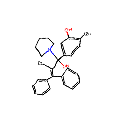 CCC(=C(c1ccccc1)c1ccccc1)C(O)(c1ccc(C(C)(C)C)c(O)c1)N1CCCCC1